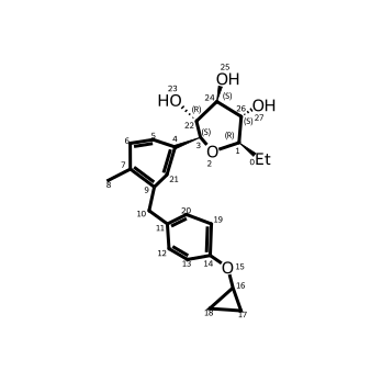 CC[C@H]1O[C@@H](c2ccc(C)c(Cc3ccc(OC4CC4)cc3)c2)[C@H](O)[C@@H](O)[C@@H]1O